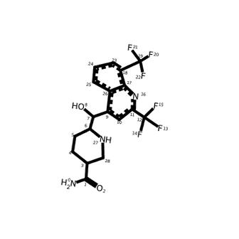 NC(=O)C1CCC(C(O)c2cc(C(F)(F)F)nc3c(C(F)(F)F)cccc23)NC1